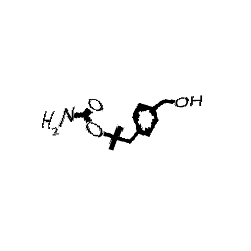 CC(C)(Cc1ccc(CO)cc1)OC(N)=O